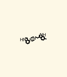 Cc1ccc2c(CCN3CCN(c4cccc5[nH]ccc45)CC3)c[nH]c2c1